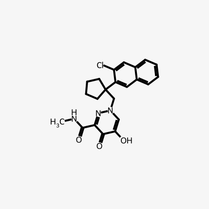 CNC(=O)c1nn(CC2(c3cc4ccccc4cc3Cl)CCCC2)cc(O)c1=O